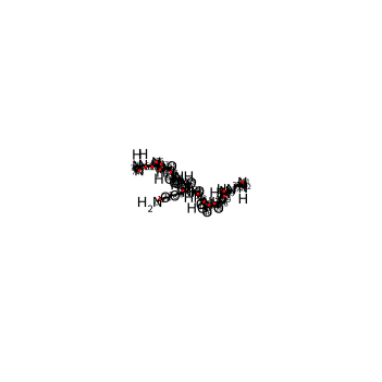 NCCOCCOCCC(=O)N[C@@H](CCC(=O)NCC(=O)N[C@@H](CNC(=O)c1ccc2c(cnn2CNCCc2ncc[nH]2)c1)C(=O)O)C(=O)NCC(=O)N[C@@H](CNC(=O)c1ccc2c(cnn2CCCNc2ncc[nH]2)c1)C(=O)O